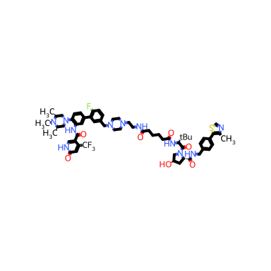 Cc1ncsc1-c1ccc(CNC(=O)[C@@H]2C[C@@H](O)CN2C(=O)[C@@H](NC(=O)CCCCC(=O)NCCN2CCN(Cc3ccc(F)c(-c4ccc(N5C[C@@H](C)N(C)[C@@H](C)C5)c(NC(=O)c5c[nH]c(=O)cc5C(F)(F)F)c4)c3)CC2)C(C)(C)C)cc1